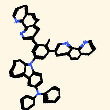 Cc1c(-c2cnc3c(ccc4cccnc43)c2)cc(-n2c3ccccc3c3cc(N(c4ccccc4)c4ccccc4)ccc32)cc1-c1cnc2c(ccc3cccnc32)c1